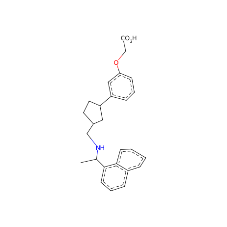 CC(NCC1CCC(c2cccc(OCC(=O)O)c2)C1)c1cccc2ccccc12